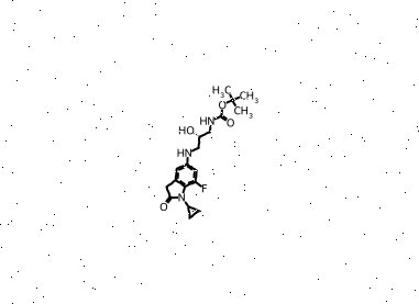 CC(C)(C)OC(=O)NC[C@@H](O)CNc1cc(F)c2c(c1)CC(=O)N2C1CC1